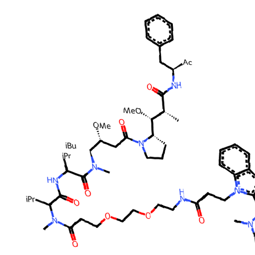 CC[C@H](C)[C@@H]([C@@H](CC(=O)N1CCC[C@H]1[C@H](OC)[C@@H](C)C(=O)N[C@@H](Cc1ccccc1)C(C)=O)OC)N(C)C(=O)C(NC(=O)C(C(C)C)N(C)C(=O)CCOCCOCCNC(=O)CCn1c(CN(C)NC)cc2ccccc21)C(C)C